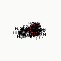 C=CC1=C(C)c2cc3[nH]c(cc4nc(cc5[nH]c(cc1n2)c(C)c5CCC(=O)O)C(CCC(=O)OCC1OC2OC5C(CO)OC(OC6C(CO)OC(OC7C(COC(=O)CCc8c(C)c9cc%10nc(cc%11[nH]c(cc%12nc(cc8[nH]9)C(CCC(=O)O)=C%12C)c(C)c%11C=C)C(C)=C%10C=C)OC(OC8C(CO)OC(OC9C(CO)OC(OC1C(O)C2O)C(O)C9O)C(O)C8O)C(O)C7O)C(O)C6O)C(O)C5O)=C4C)c(C)c3C=C